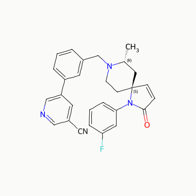 C[C@@H]1C[C@]2(C=CC(=O)N2c2cccc(F)c2)CCN1Cc1cccc(-c2cncc(C#N)c2)c1